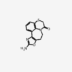 Nc1nc2c(o1)CCN1C(=O)CSc3cccc-2c31